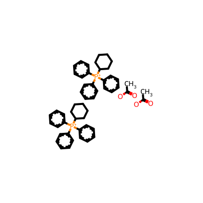 CC(=O)[O-].CC(=O)[O-].c1ccc([P+](c2ccccc2)(c2ccccc2)C2CCCCC2)cc1.c1ccc([P+](c2ccccc2)(c2ccccc2)C2CCCCC2)cc1